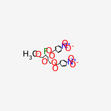 COCC1O[C@H](COC(=O)c2ccc([N+](=O)[O-])cc2)[C@@H](OC(=O)c2ccc([N+](=O)[O-])cc2)[C@@H]1F